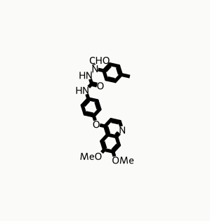 COc1cc2nccc(Oc3ccc(NC(=O)NN(C=O)c4ccc(C)cc4)cc3)c2cc1OC